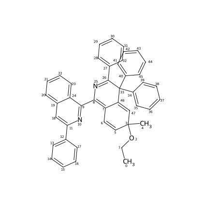 CCOC1(C)C=CC2=C(c3nc(-c4ccccc4)cc4ccccc34)N=C(c3ccccc3)C(c3ccccc3)(c3ccccc3)C2=C1